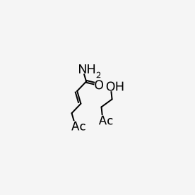 CC(=O)CC=CC(N)=O.CC(=O)CCO